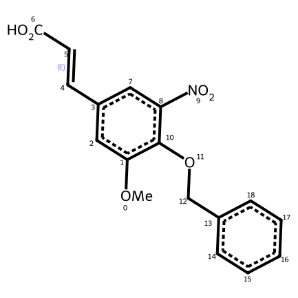 COc1cc(/C=C/C(=O)O)cc([N+](=O)[O-])c1OCc1ccccc1